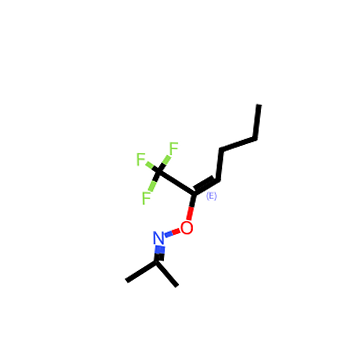 CCC/C=C(/ON=C(C)C)C(F)(F)F